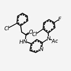 CC(=O)N(c1cc(NC(=O)Cc2ccccc2Cl)ccn1)c1cc(F)ccc1Cl